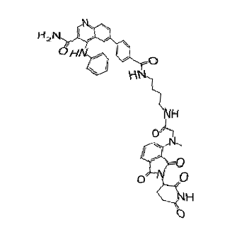 CN(CC(=O)NCCCCNC(=O)c1ccc(-c2ccc3ncc(C(N)=O)c(Nc4ccccc4)c3c2)cc1)c1cccc2c1C(=O)N(C1CCC(=O)NC1=O)C2=O